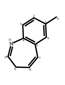 Cc1ccc2c(c1)C=CCC=N2